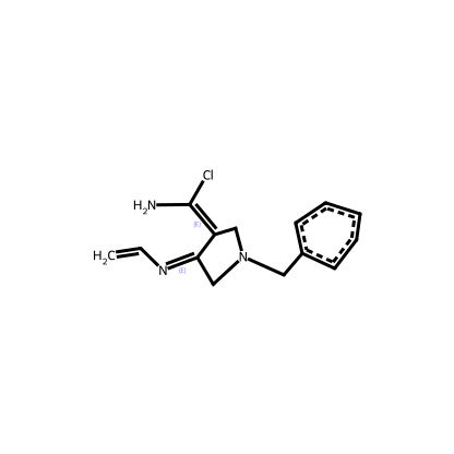 C=C/N=C1/CN(Cc2ccccc2)C/C1=C(/N)Cl